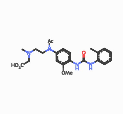 COc1cc(N(CCN(C)CC(=O)O)C(C)=O)ccc1NC(=O)Nc1ccccc1C